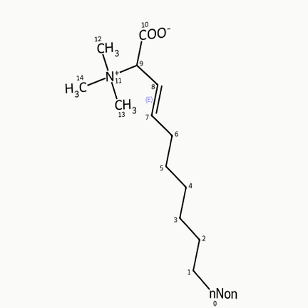 CCCCCCCCCCCCCCC/C=C/C(C(=O)[O-])[N+](C)(C)C